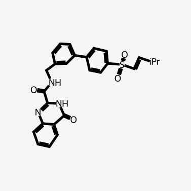 CC(C)/C=C/S(=O)(=O)c1ccc(-c2cccc(CNC(=O)c3nc4ccccc4c(=O)[nH]3)c2)cc1